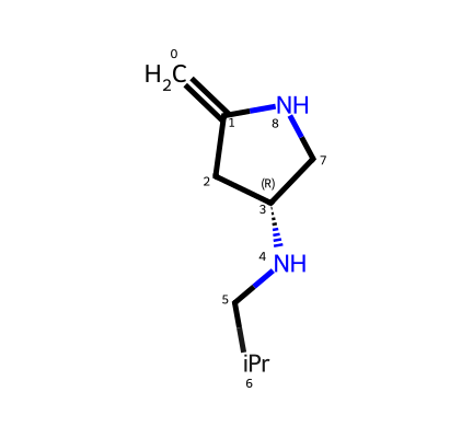 C=C1C[C@@H](NCC(C)C)CN1